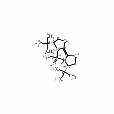 CC(C)(C)[C@H]1COC2=C3OC[C@H](C(C)(C)C)N3P(C)(=O)N21